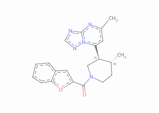 Cc1cc([C@@H]2CN(C(=O)c3cc4ccccc4o3)CC[C@H]2C)n2ncnc2n1